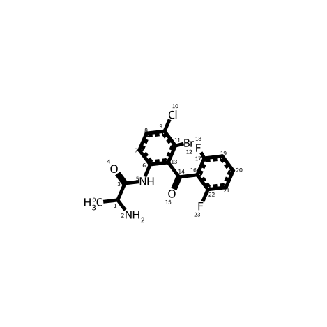 CC(N)C(=O)Nc1ccc(Cl)c(Br)c1C(=O)c1c(F)cccc1F